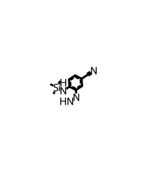 C[Si](C)(C)Nc1ccc(C#N)cc1N=N